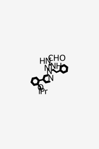 CC(C)Oc1ccccc1-c1ccnc(N2N=C(NC=O)NC2Cc2ccccc2)c1